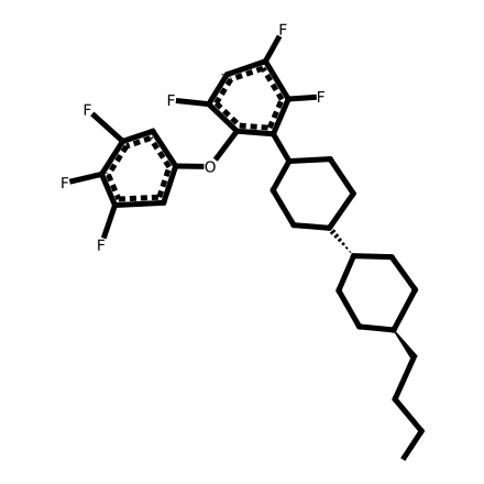 CCCC[C@H]1CC[C@H](C2CCC(c3c(F)c(F)[c]c(F)c3Oc3cc(F)c(F)c(F)c3)CC2)CC1